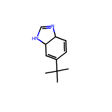 CC(C)(C)C1=CC2NC=NC2C=C1